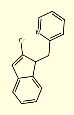 [Cr][C]1=Cc2ccccc2C1Cc1ccccn1